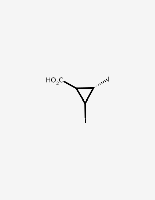 O=C(O)C1C(I)[C@H]1I